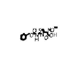 CCON=C(C(=O)O)c1csc(NC(=O)OCc2ccccc2)n1